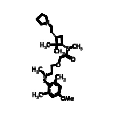 COc1cc(C)c(SN(C)CCOCC(=O)N(C)[C@H]2C[C@@H](CCN3CCCC3)C2(C)C)c(C)c1